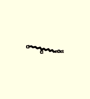 CCCCCCCCCCCCCCC(Cl)CCCCCCl